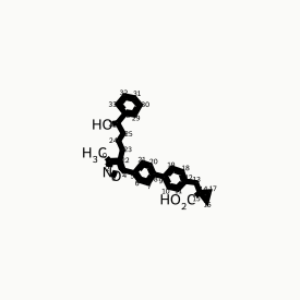 Cc1noc(-c2ccc(-c3ccc(CC4(C(=O)O)CC4)cc3)cc2)c1CCCC(O)c1ccccc1